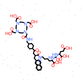 O=C(O)CCC(NC(=O)NC(CCCCNC(=O)C(CC(=O)C1CCC(CNC(=O)CN2CCN(CC(=O)O)CCN(CC(=O)O)CCN(CC(=O)O)CC2)CC1)Cc1ccc2ccccc2c1)C(=O)O)C(=O)O